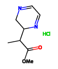 COC(=O)C(C)C1CN=CC=N1.Cl